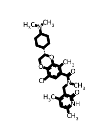 Cc1cc(C)c(CN(C)C(=O)c2cc(Cl)c3c(c2C)O[C@@H](C2CCC(N(C)C)CC2)CO3)c(=O)[nH]1